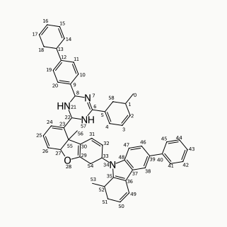 CC1C=CC=C(C2=NC(c3ccc(C4C=CC=CC4)cc3)NC(C3=CC=CC4OC5=C(C=CC(n6c7c(c8cc(-c9ccccc9)ccc86)C=CCC7C)C5)C34C)N2)C1